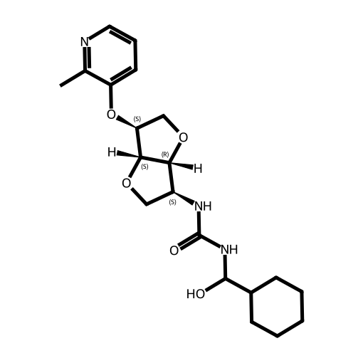 Cc1ncccc1O[C@H]1CO[C@H]2[C@@H]1OC[C@@H]2NC(=O)NC(O)C1CCCCC1